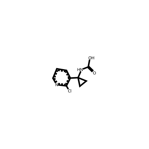 O=C(O)NC1(c2cccnc2Cl)CC1